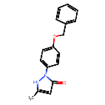 Cc1cc(=O)n(-c2ccc(OCc3ccccc3)cc2)[nH]1